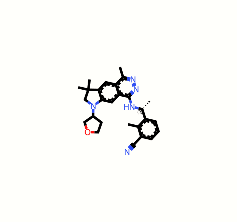 Cc1c(C#N)cccc1[C@@H](C)Nc1nnc(C)c2cc3c(cc12)N(C1CCOC1)CC3(C)C